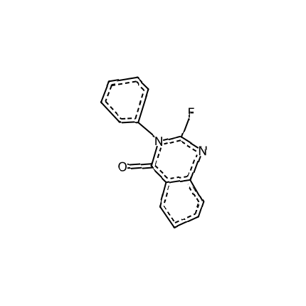 O=c1c2ccccc2nc(F)n1-c1ccccc1